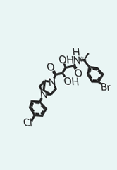 C[C@H](NC(=O)C(O)C(O)C(=O)N1CC2CC1CN2c1ccc(Cl)cc1)c1ccc(Br)cc1